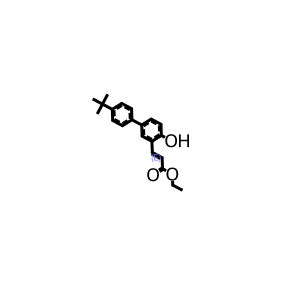 CCOC(=O)/C=C/c1cc(-c2ccc(C(C)(C)C)cc2)ccc1O